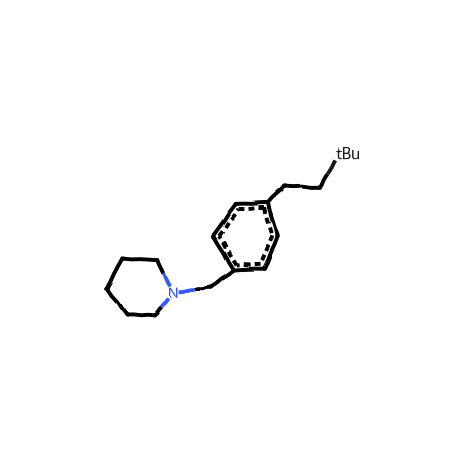 CC(C)(C)CCc1ccc(CN2CCCCC2)cc1